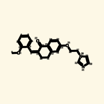 COc1ccccc1C=C1CCc2cc(OCCn3ccnc3)ccc2C1=O